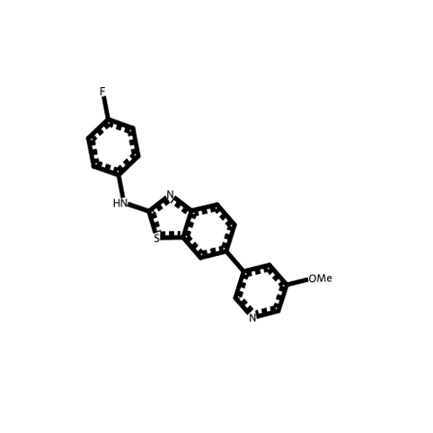 COc1cncc(-c2ccc3nc(Nc4ccc(F)cc4)sc3c2)c1